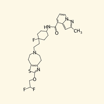 Cc1cc2c(C(=O)NC3CCC(F)(CCN4CCc5nc(OCC(F)F)sc5CC4)CC3)cccn2n1